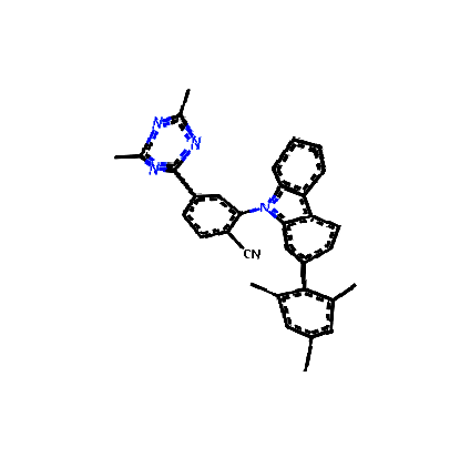 Cc1cc(C)c(-c2ccc3c4ccccc4n(-c4cc(-c5nc(C)nc(C)n5)ccc4C#N)c3c2)c(C)c1